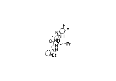 CC[C@H]1CCCCN1C(=O)CC(NC(=O)CCC(C)C)C(=O)NC(C)c1nc2cc(F)c(F)cc2[nH]1